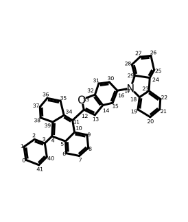 c1ccc(-c2c3ccccc3c(-c3cc4cc(-n5c6ccccc6c6ccccc65)ccc4o3)c3ccccc23)cc1